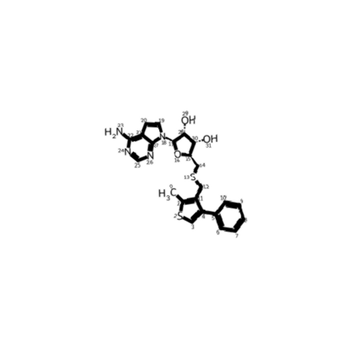 Cc1scc(-c2ccccc2)c1CSC[C@H]1O[C@@H](n2ccc3c(N)ncnc32)[C@H](O)[C@@H]1O